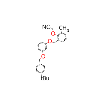 Cc1cccc(COc2cccc(OCc3ccc(C(C)(C)C)cc3)c2)c1OCC#N